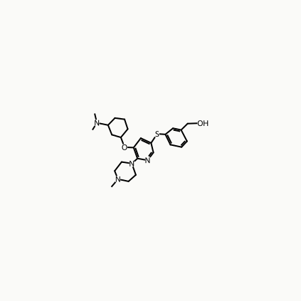 CN1CCN(c2ncc(Sc3cccc(CO)c3)cc2OC2CCCC(N(C)C)C2)CC1